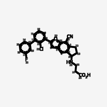 N#Cc1c2c(cc3cc(-c4cccc(-c5cccc(F)c5)c4Cl)oc13)C(NCCC(=O)O)CC2